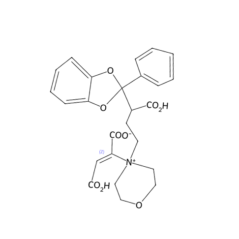 O=C(O)/C=C(/C(=O)[O-])[N+]1(CCC(C(=O)O)C2(c3ccccc3)Oc3ccccc3O2)CCOCC1